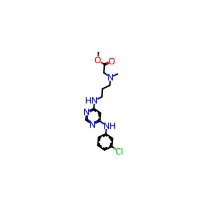 COC(=O)CN(C)CCCNc1cc(Nc2cccc(Cl)c2)ncn1